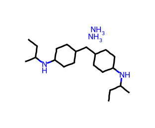 CCC(C)NC1CCC(CC2CCC(NC(C)CC)CC2)CC1.N.N